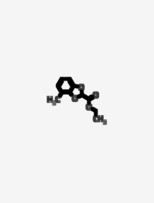 CCOC(=O)C1Oc2cccc(C)c2O1